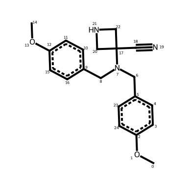 COc1ccc(CN(Cc2ccc(OC)cc2)C2(C#N)CNC2)cc1